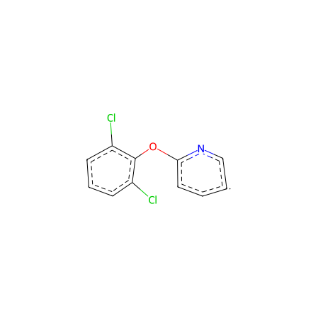 Clc1cccc(Cl)c1Oc1cc[c]cn1